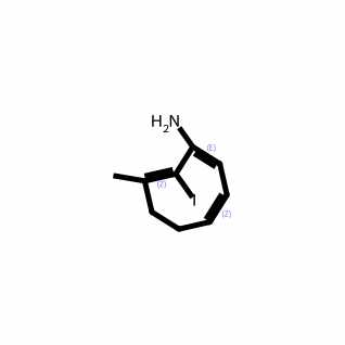 C\C1=C(I)/C(N)=C\C=C/CC1